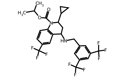 CC(C)OC(=O)N1c2ccc(C(F)(F)F)cc2C(NCc2cc(C(F)(F)F)cc(C(F)(F)F)c2)CC1C1CC1